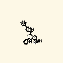 Cn1cc(-c2ccc3c(C(=O)N4CCc5[nH]cnc5C4c4cc5ccccn5n4)cnn3c2)cn1